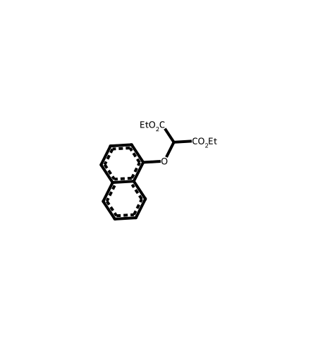 CCOC(=O)C(Oc1cccc2ccccc12)C(=O)OCC